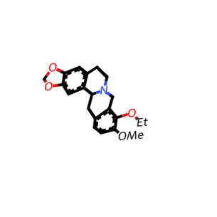 CCOc1c(OC)ccc2c1CN1CCc3cc4c(cc3C1C2)OCO4